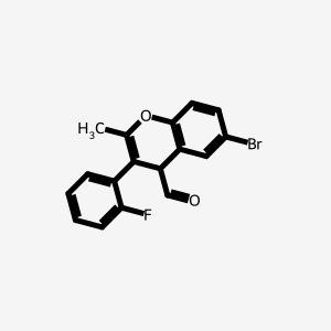 CC1=C(c2ccccc2F)C(C=O)c2cc(Br)ccc2O1